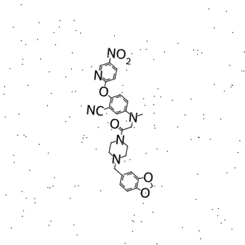 CN(CC(=O)N1CCN(Cc2ccc3c(c2)OCO3)CC1)c1ccc(Oc2ccc([N+](=O)[O-])cn2)c(C#N)c1